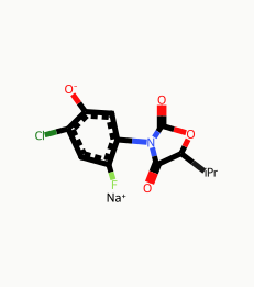 CC(C)C1OC(=O)N(c2cc([O-])c(Cl)cc2F)C1=O.[Na+]